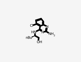 CCCC[C@H](CO)Nc1nc(N)nc2cccc(Cl)c12